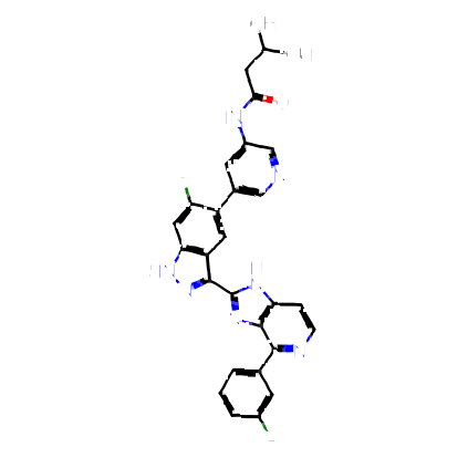 CC(C)CC(=O)Nc1cncc(-c2cc3c(-c4nc5c(-c6cccc(F)c6)nccc5[nH]4)n[nH]c3cc2F)c1